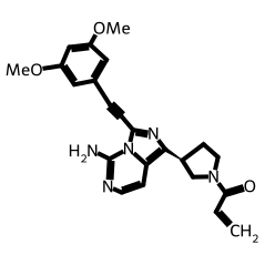 C=CC(=O)N1CC[C@H](c2nc(C#Cc3cc(OC)cc(OC)c3)n3c(N)nccc23)C1